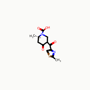 Cc1nc(C(=O)C2CN(C(=O)O)[C@@H](C)CC2=O)cs1